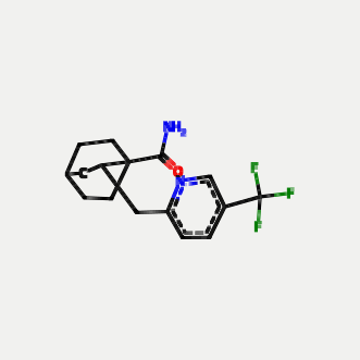 NC(=O)C12CCC(CC1)CC2Cc1ccc(C(F)(F)F)cn1